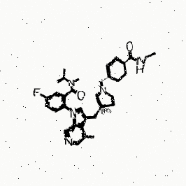 CNC(=O)[C@H]1CC[C@H](CN2CC[C@@H](Cc3cn(-c4ccc(F)cc4C(=O)N(C)C(C)C)c4cncc(C)c34)C2)CC1